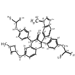 CN1CC(Oc2ccc3c(n2)N(c2ccc(OC(F)F)cc2)C(=O)C(c2ccc(OC(F)F)cc2)(c2ccc4ncn(C)c4c2)C3)C1